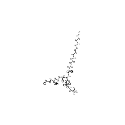 CCCCCCCCCCCCCCCCCC(=O)OC[C@H](COP(=O)([O-])OCC[N+](C)(C)C)OC(=O)CCCC(O)C=CC=O